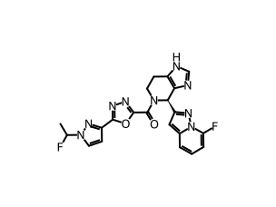 CC(F)n1ccc(-c2nnc(C(=O)N3CCc4[nH]cnc4[C@H]3c3cc4cccc(F)n4n3)o2)n1